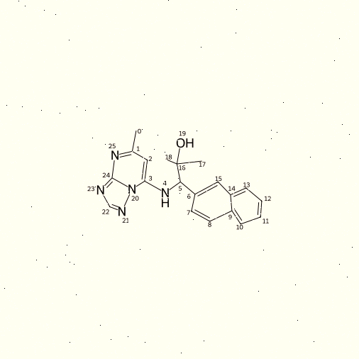 Cc1cc(NC(c2ccc3ccccc3c2)C(C)(C)O)n2ncnc2n1